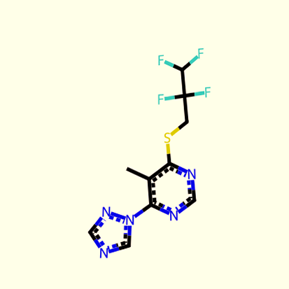 Cc1c(SCC(F)(F)C(F)F)ncnc1-n1cncn1